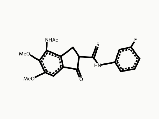 COc1cc2c(c(NC(C)=O)c1OC)CC(C(=S)Nc1cccc(F)c1)C2=O